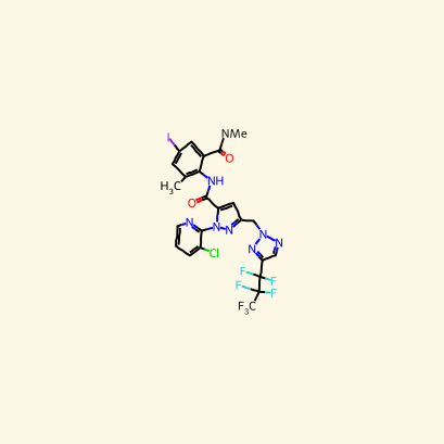 CNC(=O)c1cc(I)cc(C)c1NC(=O)c1cc(Cn2ncc(C(F)(F)C(F)(F)C(F)(F)F)n2)nn1-c1ncccc1Cl